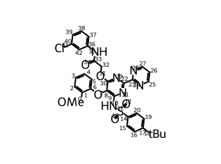 COc1ccccc1Oc1c(NS(=O)(=O)c2ccc(C(C)(C)C)cc2)nc(-c2ncccn2)nc1OCC(=O)Nc1cccc(Cl)c1